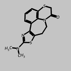 CN(C)c1nc2c(s1)CCN1C(=O)CSc3cccc-2c31